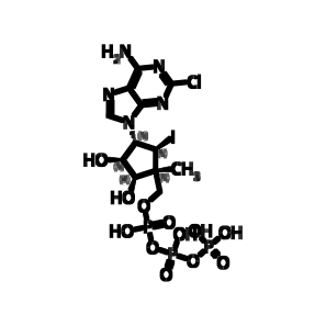 C[C@]1(COP(=O)(O)OP(=O)(O)OP(=O)(O)O)[C@H](I)[C@@H](n2cnc3c(N)nc(Cl)nc32)[C@H](O)[C@@H]1O